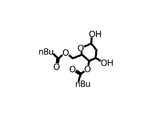 CCCCC(=O)OCC1OC(O)CC(O)C1OC(=O)CCCC